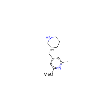 COc1cc(C[C@H]2CCCNC2)cc(C)n1